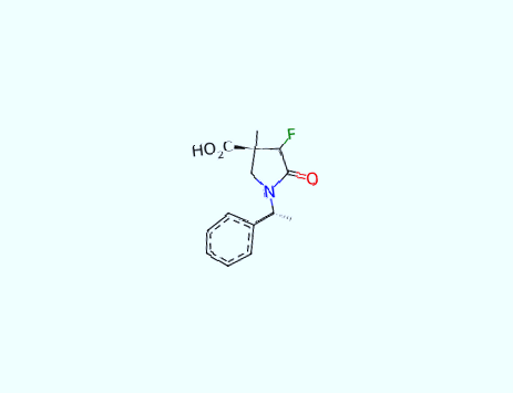 C[C@H](c1ccccc1)N1C[C@@](C)(C(=O)O)C(F)C1=O